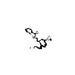 COc1ccc(CCO)c(CCNC(=O)c2ccccn2)c1